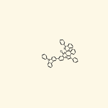 O=c1c2cc(-c3ccc4c(c3)c3ccccc3n4-c3ccccc3)ccc2n2cc(-c3ccccc3)c(-c3ccccc3)c2n1-c1nc(-c2ccccc2)c2ccccc2n1